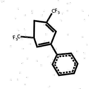 FC(F)(F)C1=CC(c2ccccc2)=CC(C(F)(F)F)C1